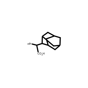 CCCC(C(=O)O)C1C2CC3CC(C2)CC1C3